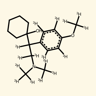 [2H]c1c([2H])c(C([2H])(C2(O)CCCCC2)C([2H])([2H])N(C([2H])([2H])[2H])C([2H])([2H])[2H])c([2H])c([2H])c1OC([2H])([2H])[2H]